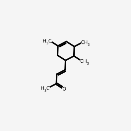 CC(=O)C=CC1CC(C)=CC(C)C1C